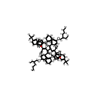 CCCCC(CC)COc1ccc(-c2c3/c(=C(\C#N)c4ccc5cc(C(C)(C)C)ccc5n4)n(B(c4ccccc4)c4ccccc4)c(-c4ccc(OCC(CC)CCCC)cc4)c3/c(=C(\C#N)c3ccc4cc(C(C)(C)C)ccc4n3)n2B(c2ccccc2)c2ccccc2)cc1